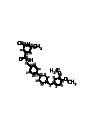 COc1ccc(CN2CCC(c3ccc(CNC(=O)c4cc(C)nc(Cl)c4)cc3)CC2)cc1OC